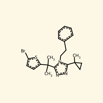 CC1(c2nnc(C(C)(C)c3ccc(Br)s3)n2CCc2ccccc2)CC1